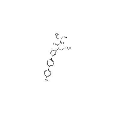 CC(C)(C)C(CO)NC(=O)C(CC(=O)O)n1ccc(-c2ccc(-c3ccc(C#N)cc3)cc2)c1